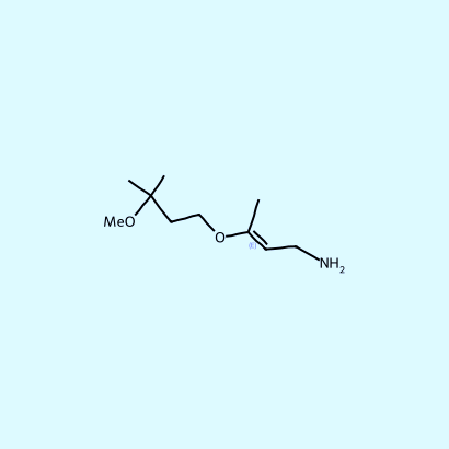 COC(C)(C)CCO/C(C)=C/CN